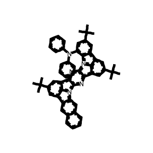 CC(C)(C)c1cc(N(c2ccccc2)c2ccccc2)c2c(c1)c1cc(C(C)(C)C)cc3c4nc5c(nc4n2c13)c1cc(C(C)(C)C)cc2c3cc4ccccc4cc3n5c21